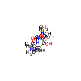 CCn1c(-c2cccnc2[C@H](C)OC)c2c3cc(ccc31)-c1cc(O)cc(c1)C[C@H](NC(=O)[C@H](C1CCCC1)N(C)C(=O)N1CCS(=O)(=NC)CC1)C(=O)N1CCC[C@H](N1)C(=O)OCC(C)(C)C2